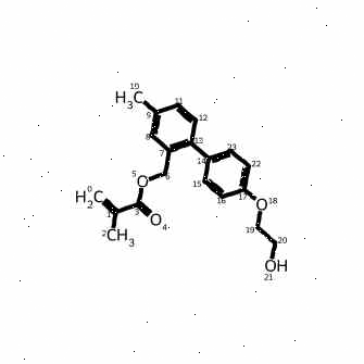 C=C(C)C(=O)OCc1cc(C)ccc1-c1ccc(OCCO)cc1